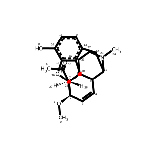 CO[C@]12C=C[C@@]3(C[C@@H]1C(C)=O)C1Cc4ccc(O)c5c4C3(CCN1C)[C@H]2O5